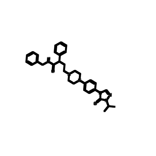 CC(C)n1ncn(-c2ccc(N3CCN(CCC(C(=O)NCc4ccccc4)c4ccccc4)CC3)cc2)c1=O